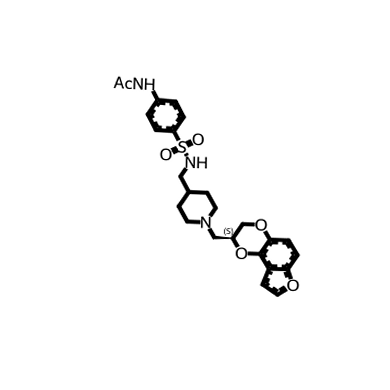 CC(=O)Nc1ccc(S(=O)(=O)NCC2CCN(C[C@H]3COc4ccc5occc5c4O3)CC2)cc1